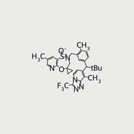 Cc1cnc2c(c1)[S+]([O-])N(Cc1cc(C(c3ccn4c(C(F)(F)F)nnc4c3C)C(C)(C)C)ccc1C)CC1(CC1)O2